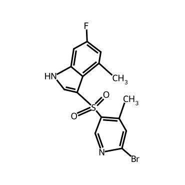 Cc1cc(Br)ncc1S(=O)(=O)c1c[nH]c2cc(F)cc(C)c12